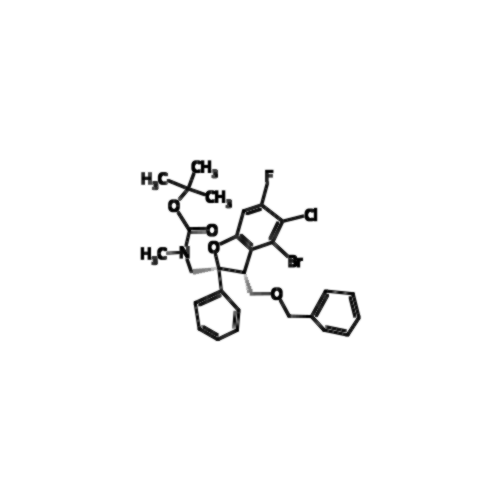 CN(C[C@]1(c2ccccc2)Oc2cc(F)c(Cl)c(Br)c2[C@@H]1COCc1ccccc1)C(=O)OC(C)(C)C